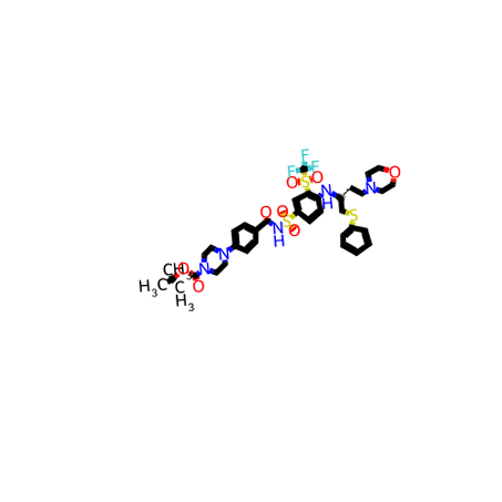 CC(C)(C)OC(=O)N1CCN(c2ccc(C(=O)NS(=O)(=O)c3ccc(N[C@H](CCN4CCOCC4)CSc4ccccc4)c(S(=O)(=O)C(F)(F)F)c3)cc2)CC1